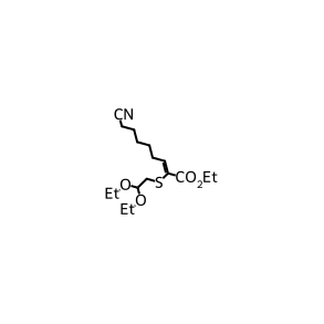 CCOC(=O)C(=CCCCCCC#N)SCC(OCC)OCC